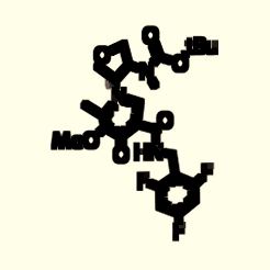 COc1c(C)n([C@@H]2COCC2N(C)C(=O)OC(C)(C)C)cc(C(=O)NCc2c(F)cc(F)cc2F)c1=O